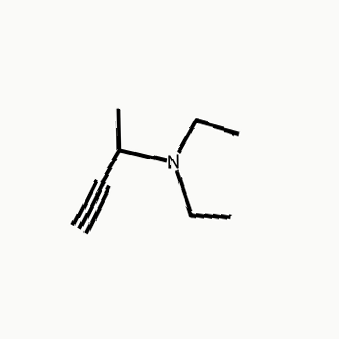 C#CC(C)N(CC)CC